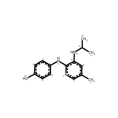 Cc1cnc(Nc2ccc(O)cc2)c(NC(C)C)c1